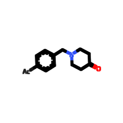 CC(=O)c1ccc(CN2CCC(=O)CC2)cc1